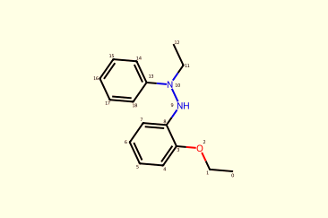 CCOc1ccccc1NN(CC)c1ccccc1